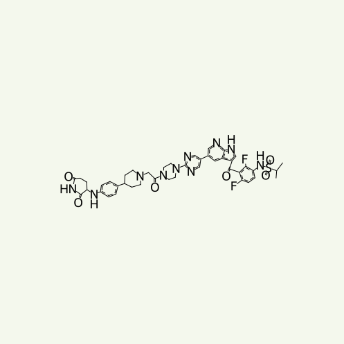 CC(C)S(=O)(=O)Nc1ccc(F)c(C(=O)c2c[nH]c3ncc(-c4cnc(N5CCN(C(=O)CN6CCC(c7ccc(NC8CCC(=O)NC8=O)cc7)CC6)CC5)nc4)cc23)c1F